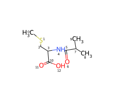 CSCC(NC(=O)C(C)C)C(=O)O